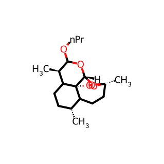 CCCOC1O[C@@H]2O[C@]3(C)CCC4[C@H](C)CCC([C@H]1C)[C@]42OO3